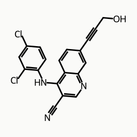 N#Cc1cnc2cc(C#CCO)ccc2c1Nc1ccc(Cl)cc1Cl